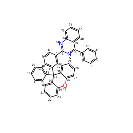 c1ccc(-c2nc(-c3cccc(C4(c5ccccc5)c5ccccc5Oc5ccccc54)c3)nc3ccccc23)cc1